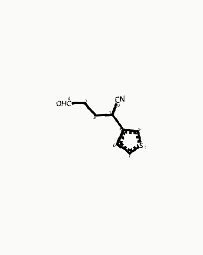 N#CC(CCC=O)c1ccsc1